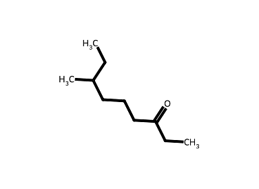 CCC(=O)CCCC(C)CC